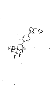 O=Cc1ccc(-c2ccc(C3=NOC(O)(C(F)(F)F)C3)cc2)s1